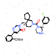 COc1ccccc1-c1cc(=O)n(C[C@@H]2CCN(C(=O)N3CCNC[C@H]3c3cccc(F)c3)CC23CCCC3)cn1